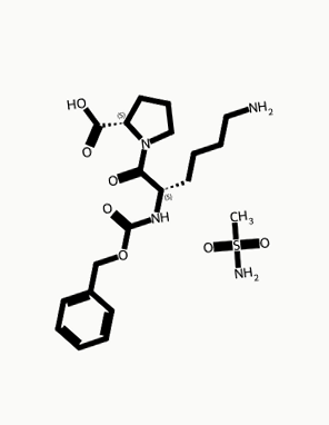 CS(N)(=O)=O.NCCCC[C@H](NC(=O)OCc1ccccc1)C(=O)N1CCC[C@H]1C(=O)O